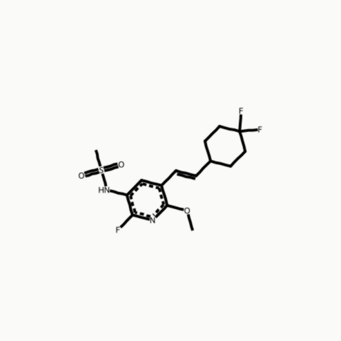 COc1nc(F)c(NS(C)(=O)=O)cc1C=CC1CCC(F)(F)CC1